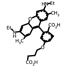 CCNC1=CC2Oc3cc(NCC)c(C)cc3C(c3cc(OCCCC(=O)O)ccc3C(=O)O)=C2C=C1C